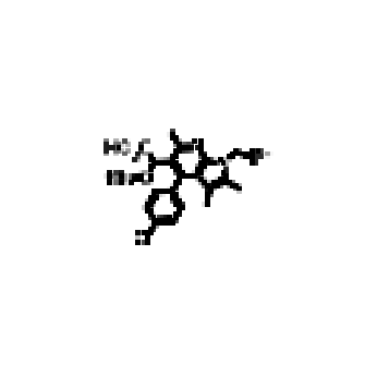 Cc1nc2c(c(C)c(C)n2CC(C)C)c(-c2ccc(Cl)cc2)c1C(OC(C)(C)C)C(=O)O